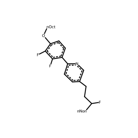 CCCCCCCCCC(F)CCc1ccc(-c2ccc(OCCCCCCCC)c(F)c2F)nc1